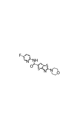 O=C(Nc1ccc(F)cn1)c1cc2sc(N3CCOCC3)nc2s1